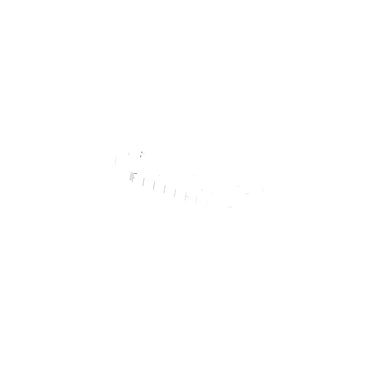 FC(F)(F)C(F)(C(F)(F)F)C(F)(F)C(F)(F)C(F)(F)C(F)(F)C(F)(F)C(F)(F)C(F)(F)C(F)(F)C(F)(F)C(F)(F)C(F)(F)CC1CO1